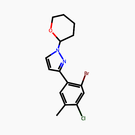 Cc1cc(-c2ccn(C3CCCCO3)n2)c(Br)cc1Cl